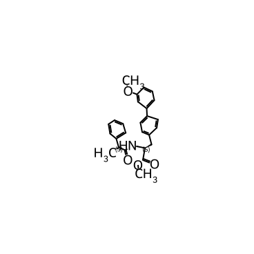 COC(=O)[C@H](Cc1ccc(-c2cccc(OC)c2)cc1)NC(=O)[C@@H](C)c1ccccc1